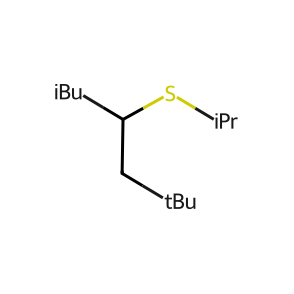 CCC(C)C(CC(C)(C)C)SC(C)C